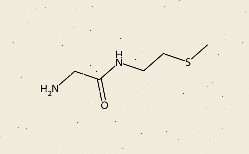 CSCCNC(=O)CN